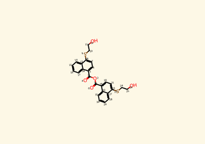 O=C(OC(=O)c1ccc(SCCO)c2ccccc12)c1ccc(SCCO)c2ccccc12